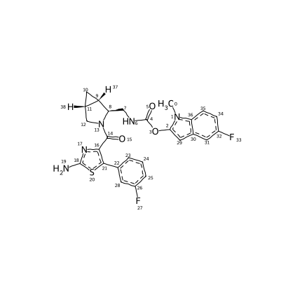 Cn1c(OC(=O)NC[C@@H]2[C@H]3C[C@H]3CN2C(=O)c2nc(N)sc2-c2cccc(F)c2)cc2cc(F)ccc21